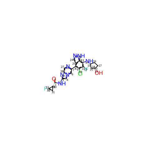 O=C(Nc1cn2cc(-c3c(Cl)c(F)c(NC4CC[C@H](O)C4)c4[nH]ncc34)ncc2n1)[C@@H]1C[C@@H]1F